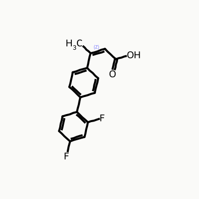 C/C(=C/C(=O)O)c1ccc(-c2ccc(F)cc2F)cc1